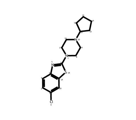 Clc1ccc2nc(N3CCN(C4CCCC4)CC3)sc2c1